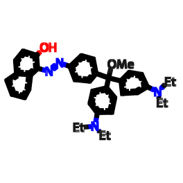 CCN(CC)c1ccc(C(OC)(c2ccc(/N=N/c3c(O)ccc4ccccc34)cc2)c2ccc(N(CC)CC)cc2)cc1